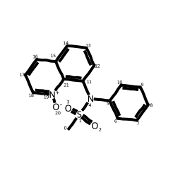 CS(=O)(=O)N(c1ccccc1)c1cccc2ccc[n+]([O-])c12